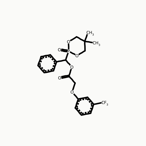 CC1(C)COP(=O)(C(OC(=O)COc2cccc(C(F)(F)F)c2)c2ccccc2)OC1